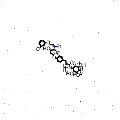 CC/C(=C/COc1cccc(Cl)c1)[C@H]1O[C@@H](Oc2ccc(/C=C(\C)C(=O)N[C@@H]3[C@H](O)[C@@H](O)[C@H]4OCO[C@H]4[C@@H]3O)cc2F)C[C@@H]1O